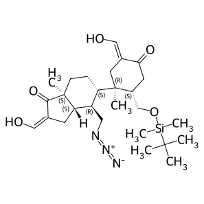 CC(C)(C)[Si](C)(C)OC[C@H]1CC(=O)C(=CO)C[C@]1(C)[C@H]1CC[C@]2(C)C(=O)C(=CO)C[C@H]2[C@@H]1CN=[N+]=[N-]